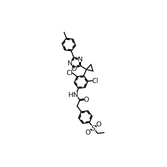 CCS(=O)(=O)c1ccc(CC(=O)Nc2cc(Cl)c(C3(c4nc(-c5ccc(C)cc5)no4)CC3)c(Cl)c2)cc1